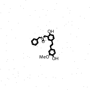 COc1cc(C=Cc2ccc(O)c(C=[N+]([O-])Cc3ccccc3)c2)ccc1O